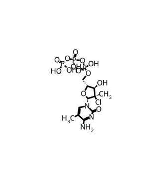 Cc1cn([C@@H]2O[C@H](COP(=O)(O)OP(=O)(O)OP(=O)(O)O)[C@@H](O)[C@@]2(C)Cl)c(=O)nc1N